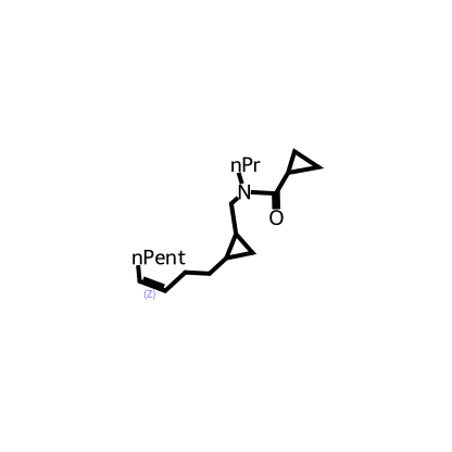 CCCCC/C=C\CCC1CC1CN(CCC)C(=O)C1CC1